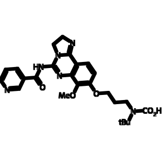 COc1c(OCCCN(C(=O)O)C(C)(C)C)ccc2c1N=C(NC(=O)c1cccnc1)N1CCN=C21